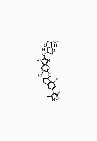 Cc1noc(C)c1-c1cc(F)c2c(c1)CCC2Oc1nc2nc(O[C@@H]3CO[C@H]4[C@@H]3OC[C@H]4O)[nH]c2cc1Cl